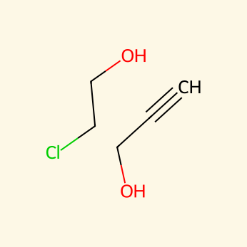 C#CCO.OCCCl